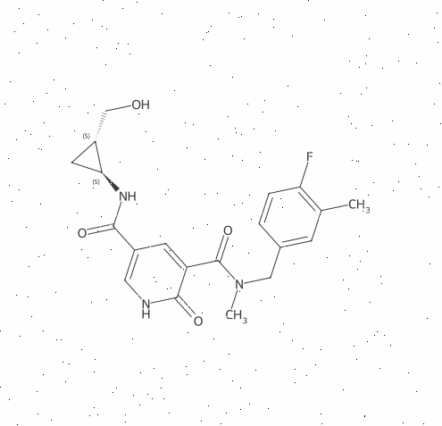 Cc1cc(CN(C)C(=O)c2cc(C(=O)N[C@H]3C[C@@H]3CO)c[nH]c2=O)ccc1F